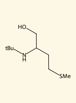 CSCCC(CO)NC(C)(C)C